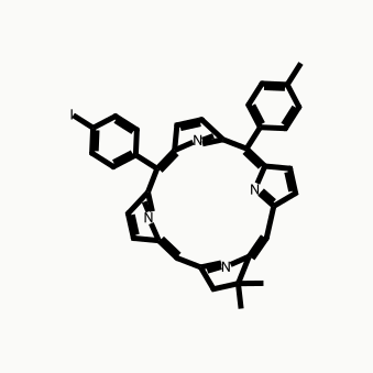 Cc1ccc(C2=C3C=CC(=N3)C=C3N=C(C=C4C=CC(=N4)C(c4ccc(I)cc4)=C4C=CC2=N4)CC3(C)C)cc1